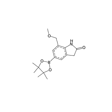 COCc1cc(B2OC(C)(C)C(C)(C)O2)cc2c1NC(=O)C2